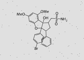 COc1cc(OC)c2c(c1)OC1(c3ccc(Br)cc3)C(c3ccccc3)CC(CS(N)(=O)=O)C21O